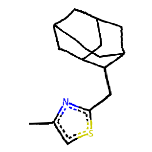 Cc1csc(CC2[C]3CC4CC(C3)CC2C4)n1